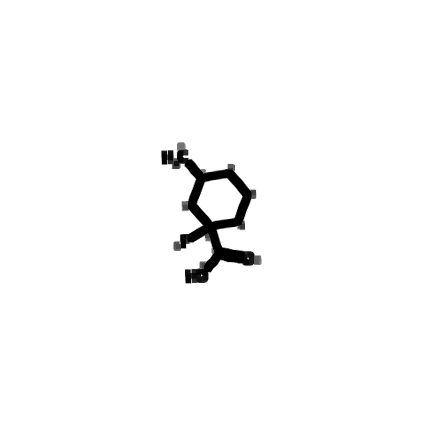 CC1CCCC(F)(C(=O)O)C1